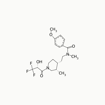 COc1ccc(C(=O)N(C)CC[C@H]2CCN(C(=O)[C@@H](O)C(F)(F)F)C[C@H]2C)cc1